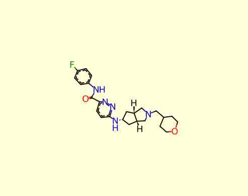 O=C(Nc1ccc(F)cc1)c1ccc(N[C@@H]2C[C@@H]3CN(CC4CCOCC4)C[C@@H]3C2)nn1